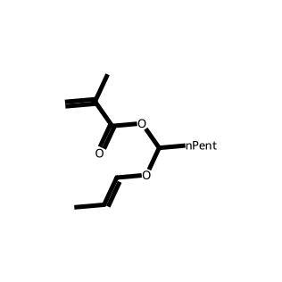 C=C(C)C(=O)OC(CCCCC)OC=CC